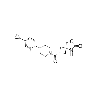 Cc1cc(C2CC2)ccc1C1CCN(C(=O)[C@H]2C[C@]3(COC(=O)N3)C2)CC1